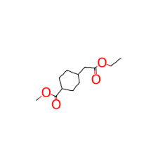 CCOC(=O)CC1CCC(C(=O)OC)CC1